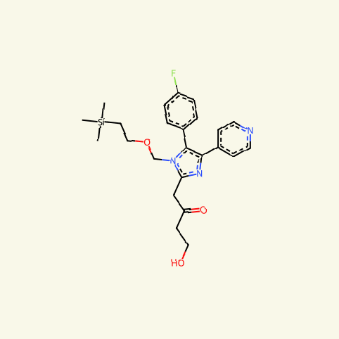 C[Si](C)(C)CCOCn1c(CC(=O)CCO)nc(-c2ccncc2)c1-c1ccc(F)cc1